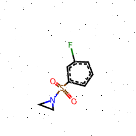 O=S(=O)(c1cccc(F)c1)N1CC1